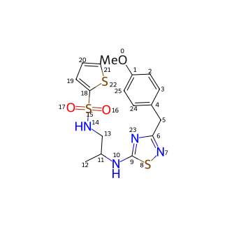 COc1ccc(Cc2nsc(NC(C)CNS(=O)(=O)c3cccs3)n2)cc1